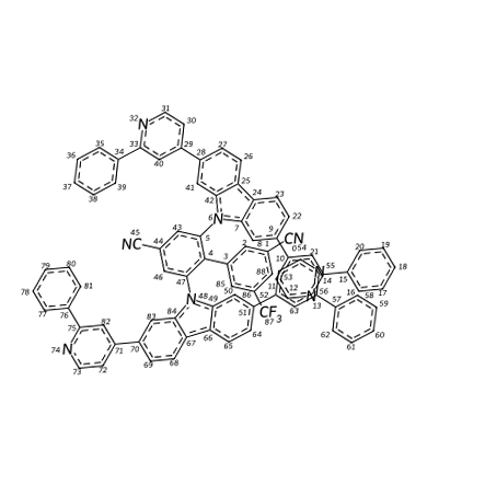 N#Cc1cc(-c2c(-n3c4cc(-c5ccnc(-c6ccccc6)c5)ccc4c4ccc(-c5ccnc(-c6ccccc6)c5)cc43)cc(C#N)cc2-n2c3cc(-c4ccnc(-c5ccccc5)c4)ccc3c3ccc(-c4ccnc(-c5ccccc5)c4)cc32)cc(C(F)(F)F)c1